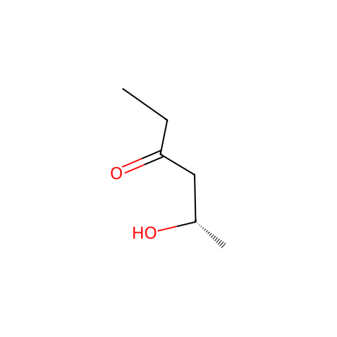 CCC(=O)C[C@H](C)O